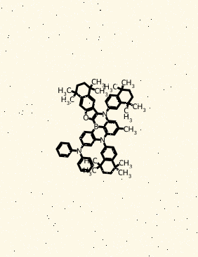 Cc1cc2c3c(c1)N(c1ccc4c(c1)C(C)(C)CCC4(C)C)c1c(oc4cc5c(cc14)C(C)(C)CCC5(C)C)B3c1ccc(N(c3ccccc3)c3ccccc3)cc1N2c1ccc2c(c1)C(C)(C)CCC2(C)C